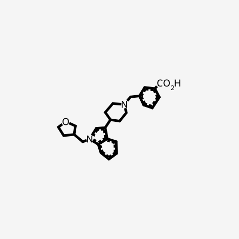 O=C(O)c1cccc(CN2CCC(c3cn(CC4CCOC4)c4ccccc34)CC2)c1